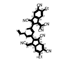 C=CC/C=C(\C=C(/C)C1=C(C#N)c2cc(C#N)c(CC)cc2C1=C(C#N)C#N)C1=C(C#N)C2C=C(C#N)C(CC)=CC2/C1=C/C#N